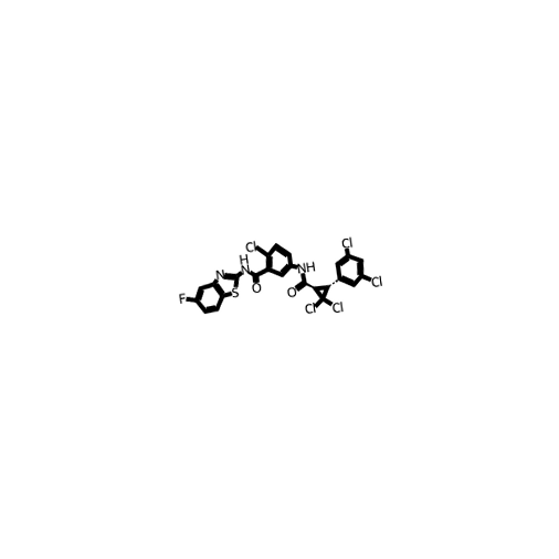 O=C(Nc1nc2cc(F)ccc2s1)c1cc(NC(=O)[C@H]2[C@H](c3cc(Cl)cc(Cl)c3)C2(Cl)Cl)ccc1Cl